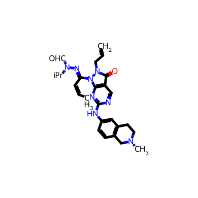 C=CCn1c(=O)c2cnc(Nc3ccc4c(c3)CCN(C)C4)nc2n1C(/C=C\C)=N/N(C=O)C(C)C